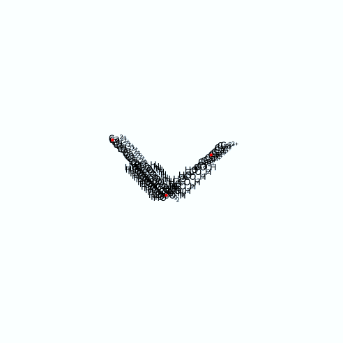 O=C(O)O.O=C(O)O.O=C(O)O.O=C(O)O.O=C(O)O.O=C(O)O.O=C(O)O.O=C(O)O.O=C(O)O.O=C(O)O.O=C(O)O.O=C(O)O.O=C(O)O.O=C(O)O.O=C(O)O.O=C(O)O.O=C(O)O.O=C(O)O.O=C(O)O.O=C(O)O.O=C(O)O.O=C(O)O.[Ca+2].[Ca+2].[Ca+2].[Ca+2].[Ca+2].[Ca+2].[Ca+2].[Ca+2].[Ca+2].[Ca+2].[Ca+2].[Ca+2].[Ca+2].[Ca+2].[Ca+2].[Ca+2].[Ca+2].[Ca+2].[Ca+2].[Ca+2].[Ca+2].[Ca+2].[Ca+2].[Ca+2].[Ca+2]